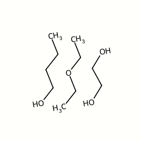 CCCCO.CCOCC.OCCO